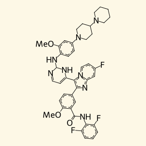 COc1cc(N2CCC(N3CCCCC3)CC2)ccc1NC1N=CC=C(c2c(-c3ccc(OC)c(C(=O)Nc4c(F)cccc4F)c3)nc3cc(F)ccn23)N1